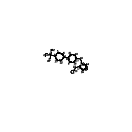 FC(F)(F)c1ccc(-c2ccc(Cn3cncc3CCl)cc2)cc1